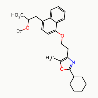 CCOC(Cc1ccc(OCCc2nc(C3CCCCC3)oc2C)c2ccccc12)C(=O)O